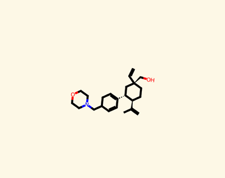 C=C[C@]1(CO)CC[C@@H](C(=C)C)[C@H](C2=CCC(CN3CCOCC3)C=C2)C1